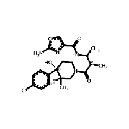 CC(NC(=O)c1coc(N)n1)[C@@H](C)C(=O)N1CC[C@](O)(c2ccc(Cl)cc2)C(C)(C)C1